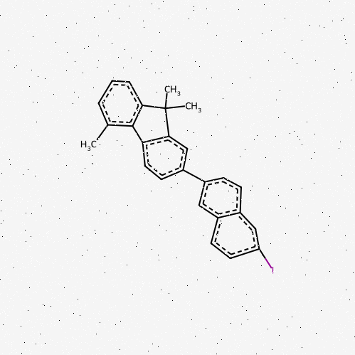 Cc1cccc2c1-c1ccc(-c3ccc4cc(I)ccc4c3)cc1C2(C)C